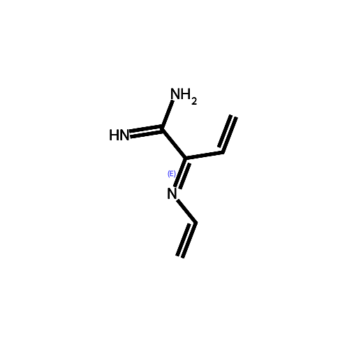 C=C/N=C(\C=C)C(=N)N